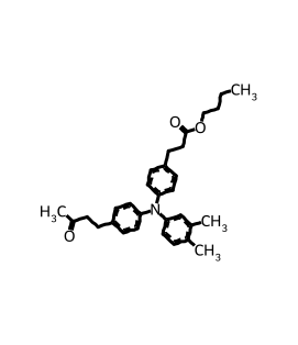 CCCCOC(=O)CCc1ccc(N(c2ccc(CCC(C)=O)cc2)c2ccc(C)c(C)c2)cc1